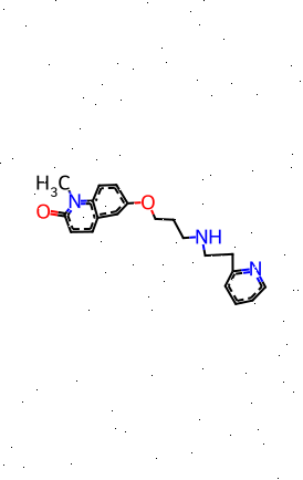 Cn1c(=O)ccc2cc(OCCCNCCc3ccccn3)ccc21